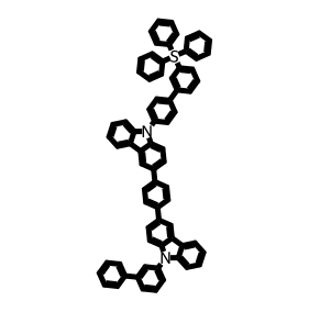 c1ccc(-c2cccc(-n3c4ccccc4c4cc(-c5ccc(-c6ccc7c(c6)c6ccccc6n7-c6ccc(-c7cccc(S(c8ccccc8)(c8ccccc8)c8ccccc8)c7)cc6)cc5)ccc43)c2)cc1